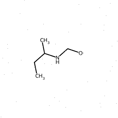 CCC(C)NC[O]